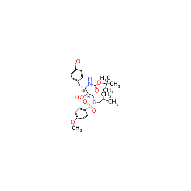 COc1ccc(S(=O)(=O)N(CC(C)C)C[C@@H](O)[C@H](Cc2ccc(C=O)cc2)NC(=O)OC(C)(C)C)cc1